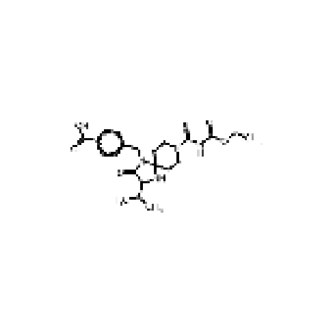 CCOC(=O)NC(=S)N1CCC2(CC1)NC(C(C)C)C(=O)N2Cc1ccc(C(=O)O)cc1